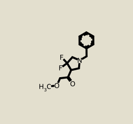 COCC(=O)C1CN(Cc2ccccc2)CC1(F)F